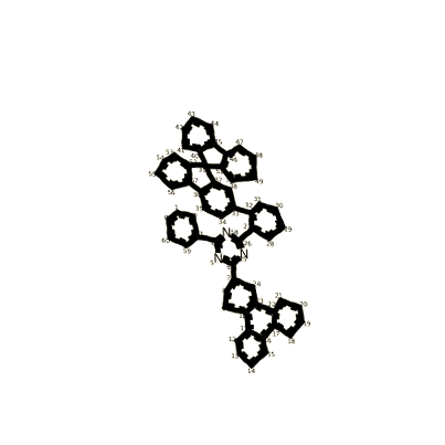 c1ccc(-c2nc(-c3ccc4c5ccccc5c5ccccc5c4c3)nc(-c3ccccc3-c3ccc4c(c3)C3(c5ccccc5-c5ccccc53)c3ccccc3-4)n2)cc1